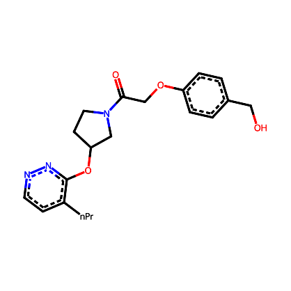 CCCc1ccnnc1OC1CCN(C(=O)COc2ccc(CO)cc2)C1